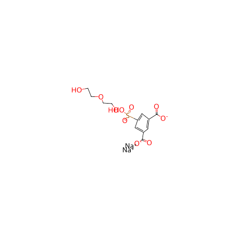 O=C([O-])c1cc(C(=O)[O-])cc(S(=O)(=O)O)c1.OCCOCCO.[Na+].[Na+]